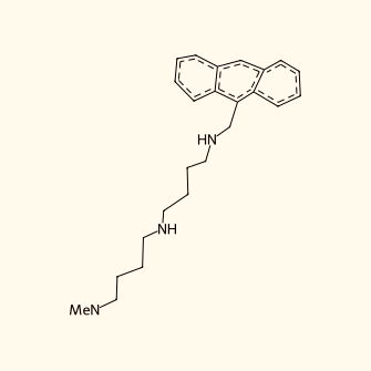 CNCCCCNCCCCNCc1c2ccccc2cc2ccccc12